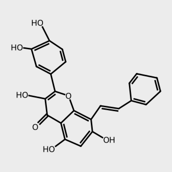 O=c1c(O)c(-c2ccc(O)c(O)c2)oc2c(/C=C/c3ccccc3)c(O)cc(O)c12